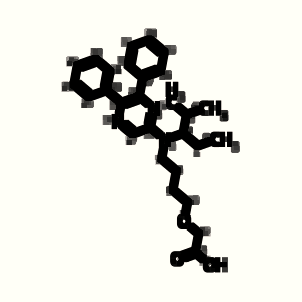 CCC(C(C)C)N(CCCCOCC(=O)O)c1cnc(-c2ccccc2)c(-c2ccccc2)n1